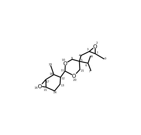 CC1OC1CC1(C(C)C)COC(C2CCC3OC3C2C)OC1